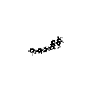 COc1cc(N2CCCc3cc(-c4cnn(C5CCN(c6ccc(C(=O)NC7CCC(=O)NC7=O)cc6F)CC5)c4)c(C(F)F)cc32)c2cc(C)c(=O)n(C)c2c1